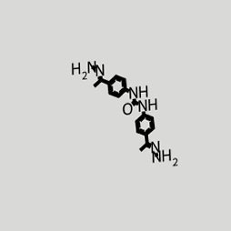 C/C(=N\N)c1ccc(NC(=O)Nc2ccc(/C(C)=N/N)cc2)cc1